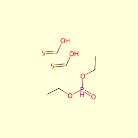 CCO[PH](=O)OCC.OC=S.OC=S